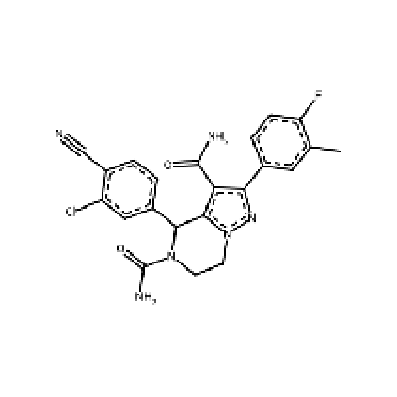 Cc1cc(-c2nn3c(c2C(N)=O)C(c2ccc(C#N)c(Cl)c2)N(C(N)=O)CC3)ccc1F